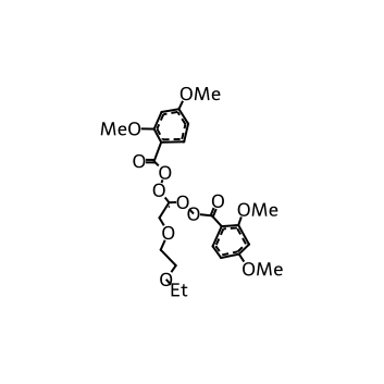 [CH2]COCCOC[C](OOC(=O)c1ccc(OC)cc1OC)OOC(=O)c1ccc(OC)cc1OC